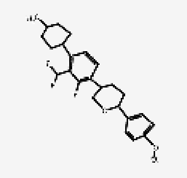 CCOc1ccc(C2CCC(c3ccc(C4CCC(C)CC4)c(C(F)F)c3F)CO2)cc1